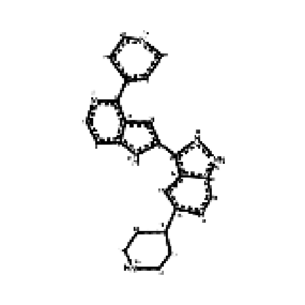 c1cc(-c2nccc3[nH]c(-c4n[nH]c5cnc(C6CCNCC6)cc45)cc23)ccn1